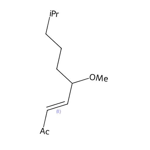 COC(/C=C/C(C)=O)CCCC(C)C